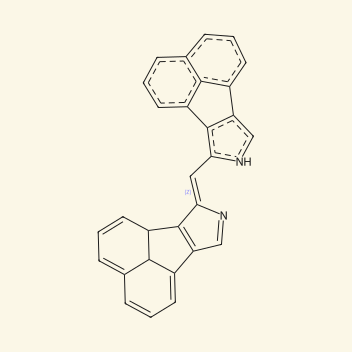 C1=CC2=CC=CC3C4=C(C=N/C4=C\c4[nH]cc5c4-c4cccc6cccc-5c46)C(=C1)C23